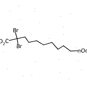 CCCCCCCCCCCCCCCCC(Br)(Br)C(=O)O